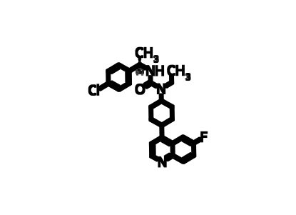 CCN(C(=O)N[C@@H](C)c1ccc(Cl)cc1)C1CCC(c2ccnc3ccc(F)cc23)CC1